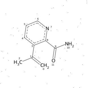 C=C(C)c1cccnc1C(N)=O